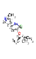 Cc1cc(-c2ccc(OC[C@H](C)CC(C)C)c(Cl)n2)ccn1